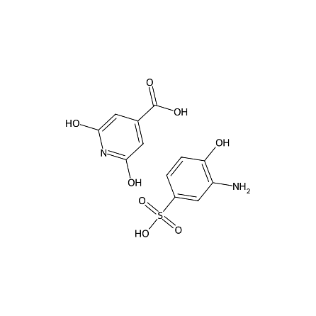 Nc1cc(S(=O)(=O)O)ccc1O.O=C(O)c1cc(O)nc(O)c1